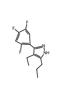 CCCc1[nH]nc(-c2cc(F)c(F)cc2F)c1CC